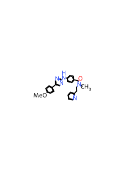 COc1ccc(-c2cnc(Nc3ccc(C(=O)N(C)CCc4ccccn4)cc3)nc2)cc1